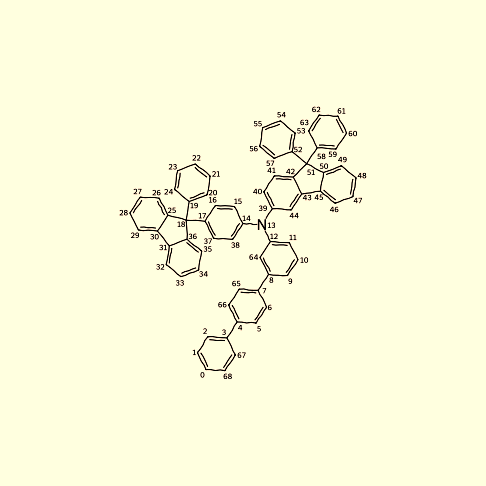 c1ccc(-c2ccc(-c3cccc(N(c4ccc(C5(c6ccccc6)c6ccccc6-c6ccccc65)cc4)c4ccc5c(c4)-c4ccccc4C5(c4ccccc4)c4ccccc4)c3)cc2)cc1